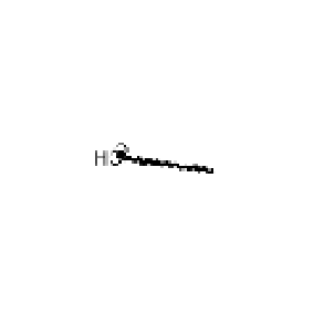 CCCCCCCCCCCCC=CC=CC=CC=CC(=O)O